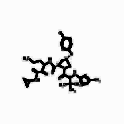 CCCC(NC(=O)[C@@H]1C[C@H](Oc2ccc(Cl)cn2)CN1C(=O)[C@@H](Nc1nc(C)cs1)C(C)(C)C)C(=O)C(=O)NC1CC1